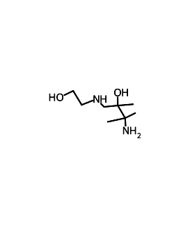 CC(C)(N)C(C)(O)CNCCO